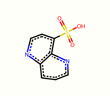 O=S(=O)(O)c1ccnc2cccnc12